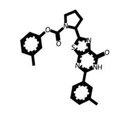 Cc1cccc(OC(=O)N2CCCC2c2nc3c(=O)[nH]c(-c4cccc(C)c4)nc3s2)c1